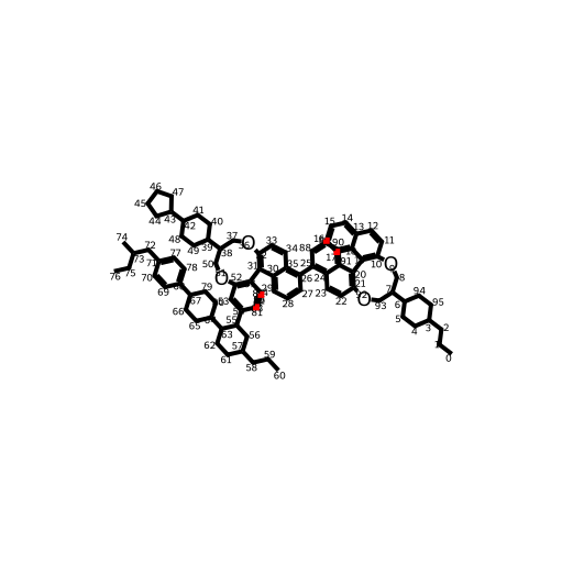 CCCC1CCC(C2COc3ccc4ccccc4c3-c3c(ccc4c(-c5cccc6c7c(ccc56)OCC(C5CCC(C6CCCC6)CC5)COc5cc(C6CC(CCC)CCC6C6CCC(c8ccc(CC(C)CC)cc8)CC6)c6ccccc6c5-7)cccc34)OC2)CC1